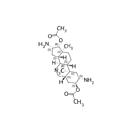 CC(=O)O[C@H]1C[C@@H]2CC[C@@H]3[C@H](CC[C@@]4(C)[C@H]3C[C@H](N)[C@@H]4OC(C)=O)[C@@]2(C)C[C@@H]1N